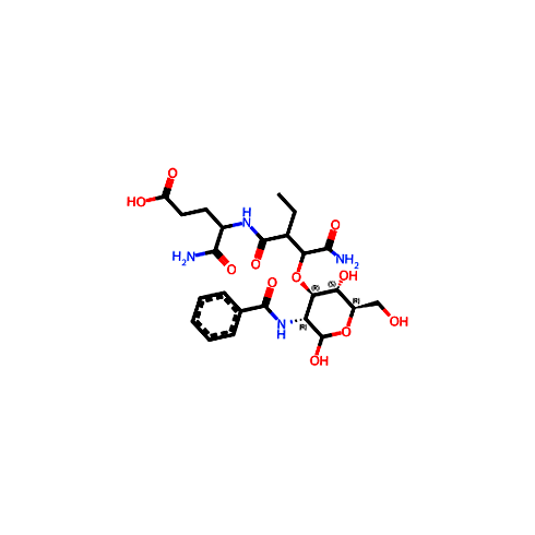 CCC(C(=O)NC(CCC(=O)O)C(N)=O)C(O[C@H]1[C@H](O)[C@@H](CO)OC(O)[C@@H]1NC(=O)c1ccccc1)C(N)=O